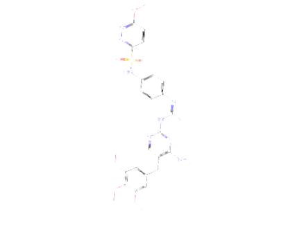 COc1ccc(S(=O)(=O)Nc2ccc(N=C(C)Nc3ncc(Cc4cc(OC)c(OC)c(OC)c4)c(N)n3)cc2)nn1